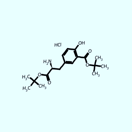 CC(C)(C)OC(=O)c1cc(C[C@H](N)C(=O)OC(C)(C)C)ccc1O.Cl